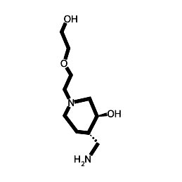 NC[C@@H]1CCN(CCOCCO)C[C@H]1O